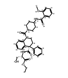 CCOC(=O)[C@H](CO)NC(=O)[C@@]1(c2ccccc2)CC[C@H](C(=O)N2CCC(NC(=O)c3ccccc3OC)CC2)c2ccccc21